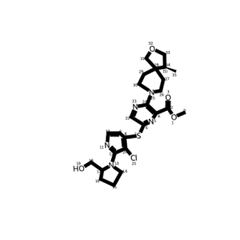 COC(=O)c1nc(Sc2ccnc(N3CCCC3CO)c2Cl)cnc1N1CCC2(CC1)COC[C@H]2C